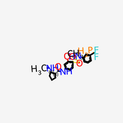 CN[C@@H]1CCC[C@H]1C(=O)Nc1ccc(S(=O)(=O)Nc2cccc(C(F)(F)P)c2)c(OC)c1